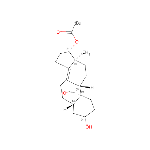 CC(C)(C)C(=O)O[C@H]1CCC2=C3CC[C@H]4C[C@@H](O)CC[C@]4(CO)[C@H]3CC[C@@]21C